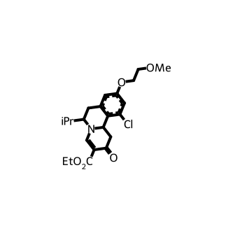 CCOC(=O)C1=CN2C(CC1=O)c1c(Cl)cc(OCCOC)cc1CC2C(C)C